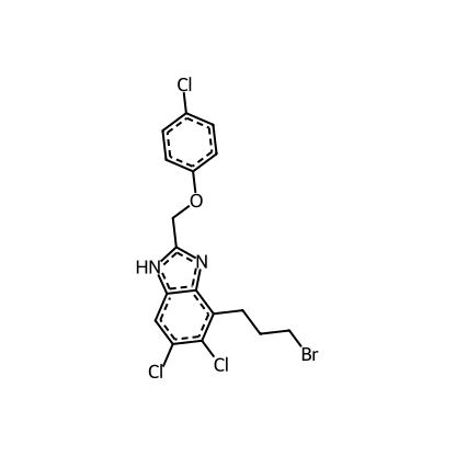 Clc1ccc(OCc2nc3c(CCCBr)c(Cl)c(Cl)cc3[nH]2)cc1